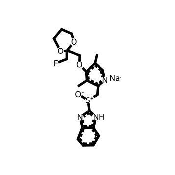 Cc1cnc(C[S+]([O-])c2nc3ccccc3[nH]2)c(C)c1OCC1(CF)OCCCO1.[Na]